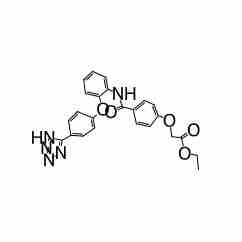 CCOC(=O)COc1ccc(C(=O)Nc2ccccc2Oc2ccc(-c3nnn[nH]3)cc2)cc1